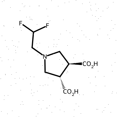 O=C(O)[C@@H]1CN(CC(F)F)C[C@H]1C(=O)O